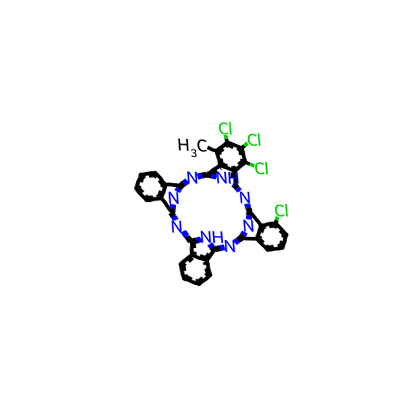 Cc1c(Cl)c(Cl)c(Cl)c2c3nc4nc(nc5[nH]c(nc6nc(nc([nH]3)c12)-c1ccccc1-6)c1ccccc51)-c1cccc(Cl)c1-4